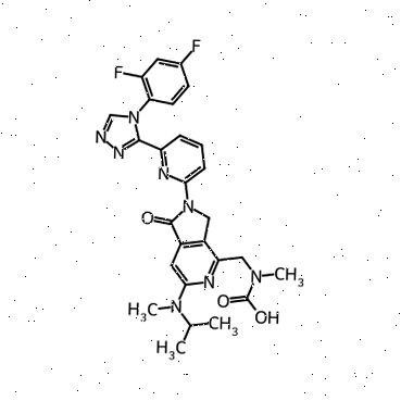 CC(C)N(C)c1cc2c(c(CN(C)C(=O)O)n1)CN(c1cccc(-c3nncn3-c3ccc(F)cc3F)n1)C2=O